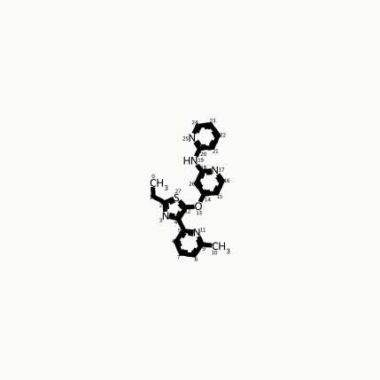 CCc1nc(-c2cccc(C)n2)c(Oc2ccnc(Nc3ccccn3)c2)s1